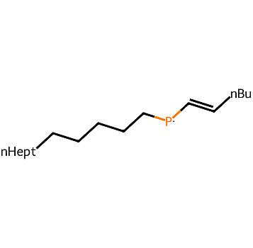 CCCC/C=C/[P]CCCCCCCCCCCC